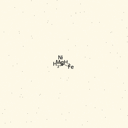 [MgH2].[Ni].[SiH3][Fe]